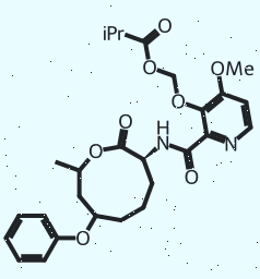 COc1ccnc(C(=O)N[C@H]2CCCC(Oc3ccccc3)CC(C)OC2=O)c1OCOC(=O)C(C)C